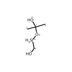 CC(C)(O)O[SiH2]CO